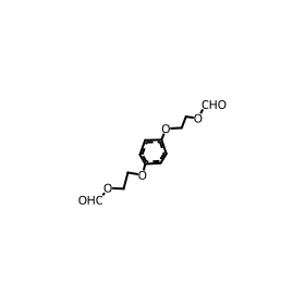 O=COCCOc1ccc(OCCOC=O)cc1